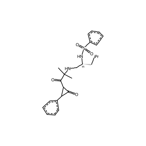 CC(C)C[C@H](CNC(C)(C)C(=O)C1C(=O)C1c1ccccc1)NS(=O)(=O)c1ccccc1